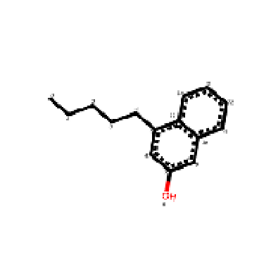 CCCCCc1cc(O)cc2ccccc12